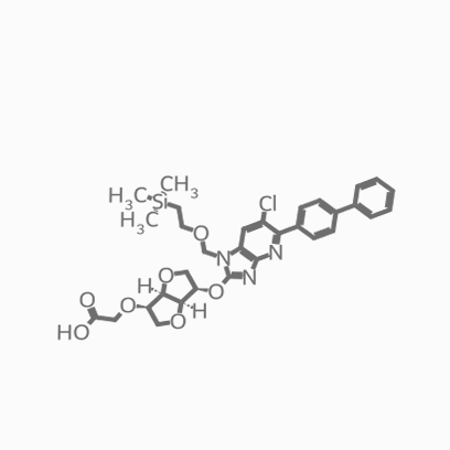 C[Si](C)(C)CCOCn1c(O[C@@H]2CO[C@H]3[C@@H]2OC[C@H]3OCC(=O)O)nc2nc(-c3ccc(-c4ccccc4)cc3)c(Cl)cc21